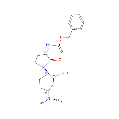 CC(C)N(C)[C@@H]1CC[C@@H](N2CC[C@H](NC(=O)OCc3ccccc3)C2=O)[C@H](C(=O)O)C1